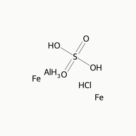 Cl.O=S(=O)(O)O.[AlH3].[Fe].[Fe]